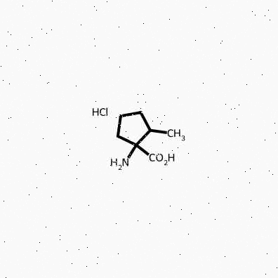 CC1CCCC1(N)C(=O)O.Cl